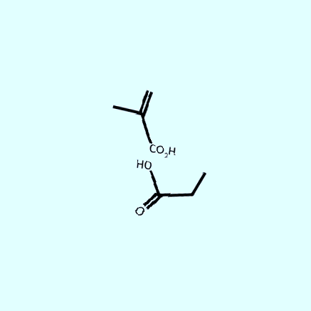 C=C(C)C(=O)O.CCC(=O)O